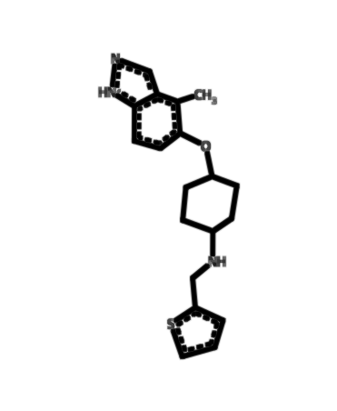 Cc1c(OC2CCC(NCc3cccs3)CC2)ccc2[nH]ncc12